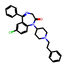 O=C1CN=C(c2ccccc2)c2cc(Cl)ccc2N1C1CCN(CCc2ccccc2)CC1